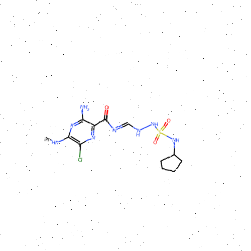 CC(C)Nc1nc(N)c(C(=O)N=CNNS(=O)(=O)NC2CCCC2)nc1Cl